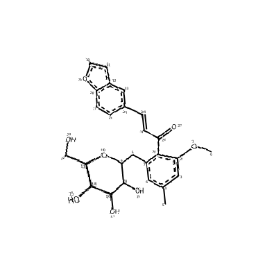 COc1cc(C)cc(CC2OC(CO)C(O)C(O)C2O)c1C(=O)C=Cc1ccc2occc2c1